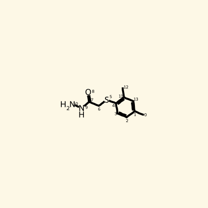 Cc1ccc(SCC(=O)NN)c(C)c1